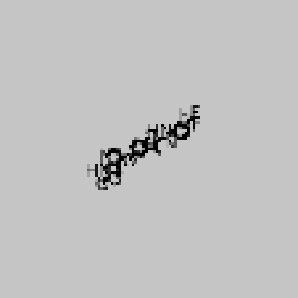 CC1c2cc(Oc3ccnc4c3COC(=O)N4)ccc2OC1c1nc2ccc(C(F)(F)F)cc2[nH]1